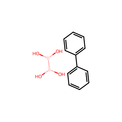 OB(O)B(O)O.c1ccc(-c2ccccc2)cc1